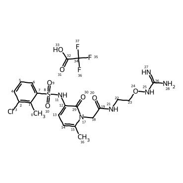 Cc1c(Cl)cccc1S(=O)(=O)Nc1ccc(C)n(CC(=O)NCCONC(=N)N)c1=O.O=C(O)C(F)(F)F